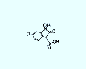 O=C(O)C1C(=O)N(O)c2cc(Cl)ccc21